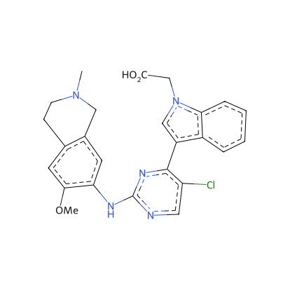 COc1cc2c(cc1Nc1ncc(Cl)c(-c3cn(CC(=O)O)c4ccccc34)n1)CN(C)CC2